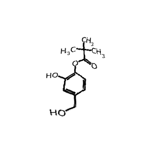 CC(C)(C)C(=O)Oc1ccc(CO)cc1O